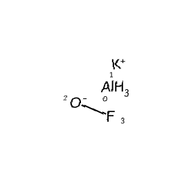 [AlH3].[K+].[O-]F